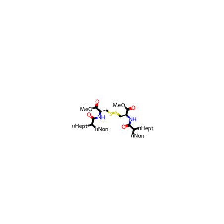 CCCCCCCCCC(CCCCCCC)C(=O)N[C@@H](CSSC[C@H](NC(=O)C(CCCCCCC)CCCCCCCCC)C(=O)OC)C(=O)OC